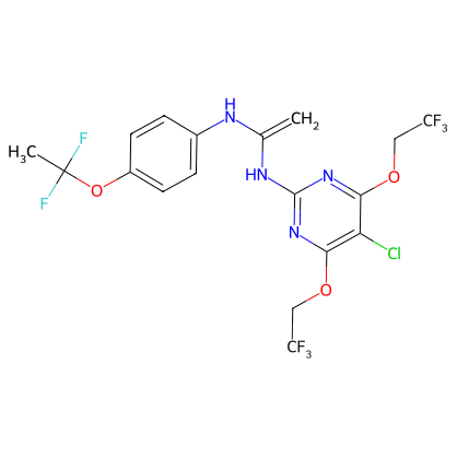 C=C(Nc1ccc(OC(C)(F)F)cc1)Nc1nc(OCC(F)(F)F)c(Cl)c(OCC(F)(F)F)n1